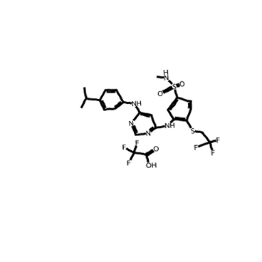 CNS(=O)(=O)c1ccc(SCC(F)(F)F)c(Nc2cc(Nc3ccc(C(C)C)cc3)ncn2)c1.O=C(O)C(F)(F)F